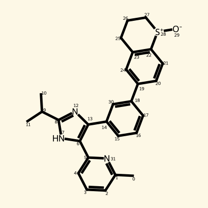 Cc1cccc(-c2[nH]c(C(C)C)nc2-c2cccc(-c3ccc4c(c3)CCC[S+]4[O-])c2)n1